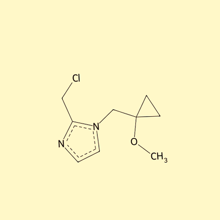 COC1(Cn2ccnc2CCl)CC1